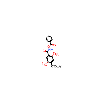 O=C(ONC(=O)c1cc(O)c(C(=O)O)cc1O)c1ccccc1